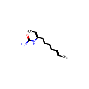 CC=CCCCCC(=CC)NC(N)=O